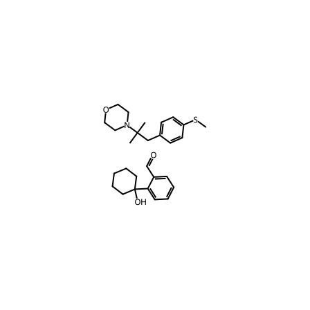 CSc1ccc(CC(C)(C)N2CCOCC2)cc1.O=Cc1ccccc1C1(O)CCCCC1